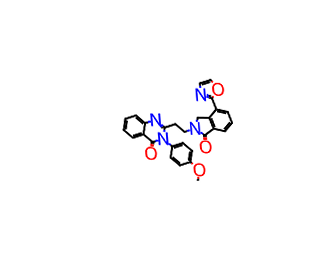 COc1ccc(-n2c(CCN3Cc4c(cccc4-c4ncco4)C3=O)nc3ccccc3c2=O)cc1